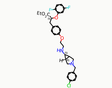 CCOC(=O)[C@H](Cc1ccc(OCCN[C@H]2C3CN(Cc4ccc(Cl)cc4)C[C@@H]32)cc1)Oc1cc(F)ccc1F